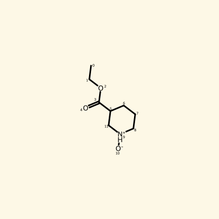 CCOC(=O)C1CCC[NH+]([O-])C1